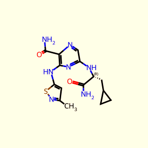 Cc1cc(Nc2nc(N[C@H](CC3CC3)C(N)=O)cnc2C(N)=O)sn1